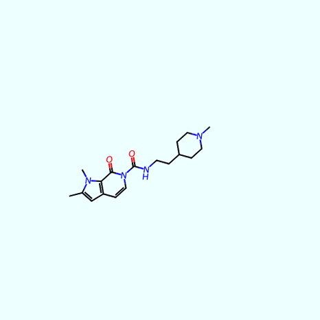 Cc1cc2ccn(C(=O)NCCC3CCN(C)CC3)c(=O)c2n1C